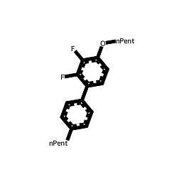 CCCCCOc1ccc(-c2ccc(CCCCC)cc2)c(F)c1F